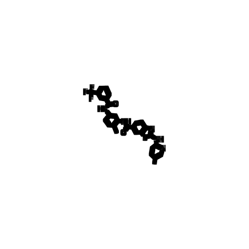 Cc1ccc(Nc2nc3ccc(C(=O)Nc4cc(NC(=O)c5cccc(C(F)(F)F)c5)ccc4C)cc3s2)nc1